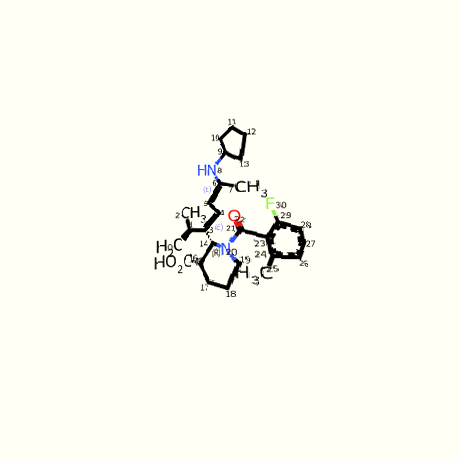 C=C(C)/C(=C\C=C(/C)NC1CCCC1)[C@H]1[C@@H](C(=O)O)CCCN1C(=O)c1c(C)cccc1F